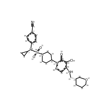 N#Cc1ccc(N(C2CC2)S(=O)(=O)N2CCC(n3ncc(NC[C@H]4CCCOC4)c(Cl)c3=O)CC2)cc1